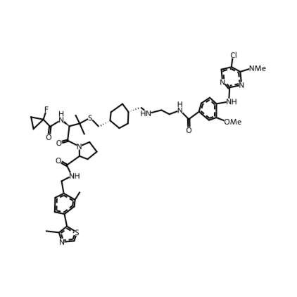 CNc1nc(Nc2ccc(C(=O)NCCNC[C@H]3CC[C@@H](CSC(C)(C)[C@H](NC(=O)C4(F)CC4)C(=O)N4CCCC4C(=O)NCc4ccc(-c5scnc5C)cc4C)CC3)cc2OC)ncc1Cl